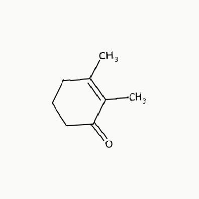 CC1=C(C)C(=O)CCC1